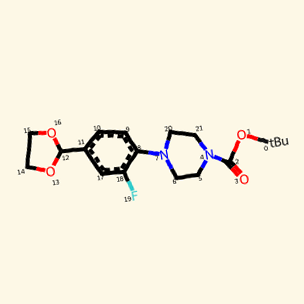 CC(C)(C)OC(=O)N1CCN(c2ccc(C3OCCO3)cc2F)CC1